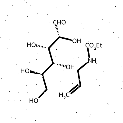 C=CCNC(=O)OCC.O=C[C@H](O)[C@@H](O)[C@H](O)[C@H](O)CO